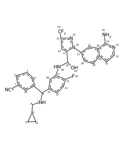 N#Cc1cccc(C(NCC2CC2)c2ccc(F)c(NC(O)c3cc(C(F)(F)F)nn3-c3ccc4ccnc(N)c4c3)c2)c1